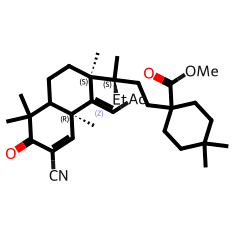 CC[C@@](C)(CCC1(C(=O)OC)CCC(C)(C)CC1)[C@]1(C)CCC2C(C)(C)C(=O)C(C#N)=C[C@]2(C)/C1=C/C(C)=O